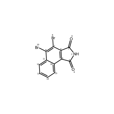 O=C1NC(=O)c2c1c(Br)c(Br)c1ccccc21